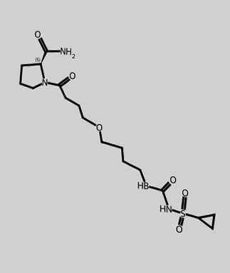 NC(=O)[C@@H]1CCCN1C(=O)CCCOCCCCBC(=O)NS(=O)(=O)C1CC1